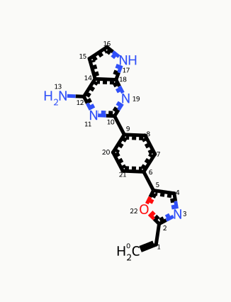 C=Cc1ncc(-c2ccc(-c3nc(N)c4cc[nH]c4n3)cc2)o1